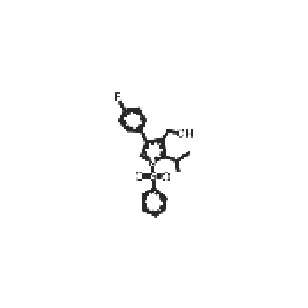 CC(C)c1c(CO)c(-c2ccc(F)cc2)cn1S(=O)(=O)c1ccccc1